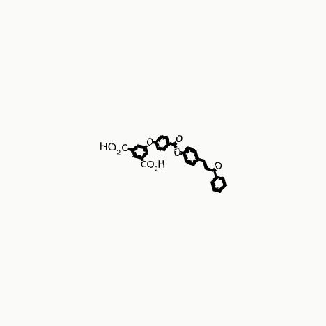 O=C(O)c1cc(Oc2ccc(C(=O)Oc3ccc(/C=C/C(=O)c4ccccc4)cc3)cc2)cc(C(=O)O)c1